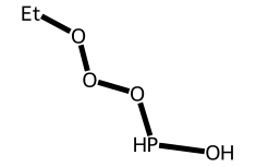 CCOOOPO